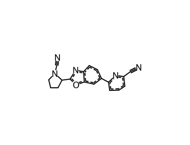 N#Cc1cccc(-c2ccc3nc(C4CCCN4C#N)oc3c2)n1